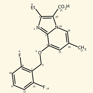 CCc1nc2c(OCc3c(F)cccc3F)cc(C)cn2c1C(=O)O